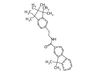 CC1(C)c2ccccc2-c2ccc(C(=O)NCCc3ccc4c(c3)C(C)(C)C(C)(C)C4(C)C)cc21